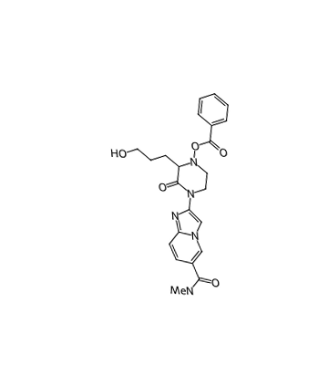 CNC(=O)c1ccc2nc(N3CCN(OC(=O)c4ccccc4)C(CCCO)C3=O)cn2c1